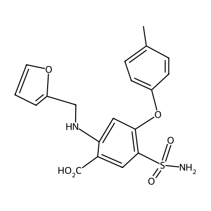 Cc1ccc(Oc2cc(NCc3ccco3)c(C(=O)O)cc2S(N)(=O)=O)cc1